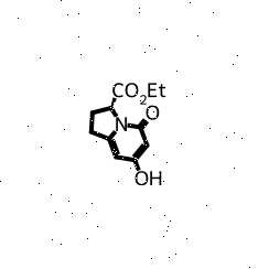 CCOC(=O)[C@@H]1CCc2cc(O)cc(=O)n21